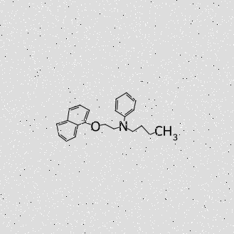 CCCCN(CCOc1cccc2ccccc12)c1ccccc1